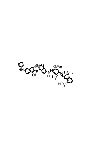 COc1cc(N=Nc2cc3c(S(=O)(=O)O)cccc3cc2S(=O)(=O)O)c(C)cc1N=Nc1cc(OC)c(N=Nc2c(S(=O)(=O)O)cc3cc(Nc4ccccc4)ccc3c2O)cc1C